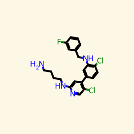 NCCCCNc1cc(-c2ccc(Cl)c(NCc3cccc(F)c3)c2)c(Cl)cn1